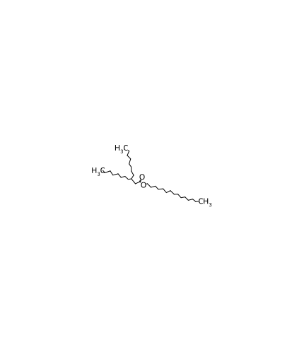 CCCCCCCCCCCCCCCOC(=O)CC(CCCCCCCC)CCCCCCCC